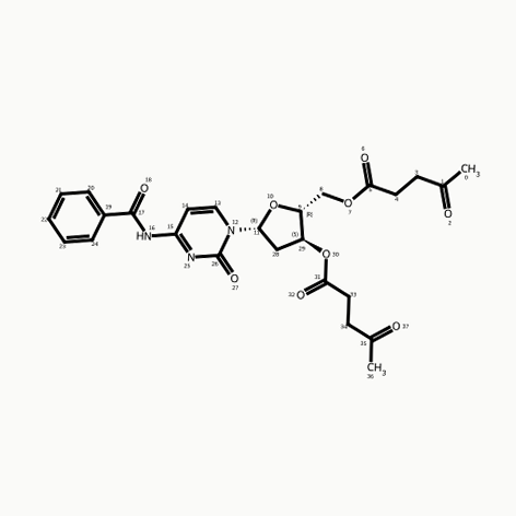 CC(=O)CCC(=O)OC[C@H]1O[C@@H](n2ccc(NC(=O)c3ccccc3)nc2=O)C[C@@H]1OC(=O)CCC(C)=O